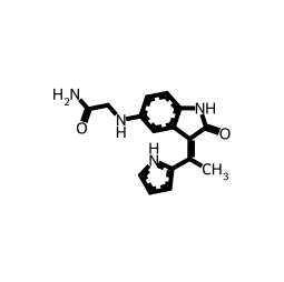 CC(=C1C(=O)Nc2ccc(NCC(N)=O)cc21)c1ccc[nH]1